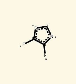 Fc1n[c]sc1F